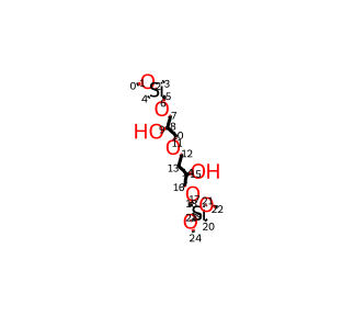 CO[Si](C)(C)COCC(O)COCCC(O)COC[Si](C)(OC)OC